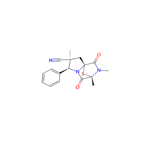 CN1C(=O)[C@@]23C[C@](C)(C#N)[C@H](c4ccccc4)N2C(=O)[C@]1(C)S3